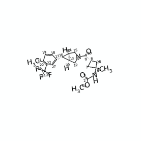 COC(=O)N[C@]1(C)C[C@H](C(=O)N2C[C@@H]3[C@H](C2)[C@H]3c2ccc(C)c(C(F)(F)F)c2)C1